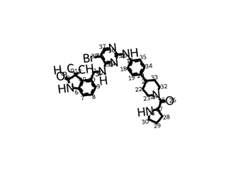 CC1(C)C(=O)Nc2cccc(CNc3nc(Nc4ccc(C5CCN(C(=O)C6CCCN6)CC5)cc4)ncc3Br)c21